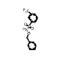 O=S(=O)(NOCc1ccccc1)c1cccc(C(F)(F)F)c1